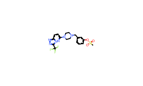 CS(=O)(=O)Oc1cccc(CN2CCN(c3ccc4nnc(C(F)(F)F)n4n3)CC2)c1